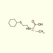 CC[C@H](NCCSC1CCCCC1)C(=O)O